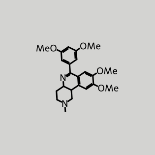 COc1cc(OC)cc(C2=NC3CCN(C)CC3c3cc(OC)c(OC)cc32)c1